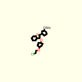 COc1cccc(-c2sc3ccccc3c2Oc2ccc(OCCCl)cc2)c1